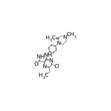 CCc1nc(C(N)=O)c(Nc2ccc(N3CCN(C)C[C@@H]3C)cc2)nc1Cl